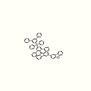 c1ccc(-c2cc(-c3ccccc3)cc(S(c3ccccc3)(c3ccccc3)c3cc(-c4ccccc4)c(-n4c5ccccc5c5cc(-c6ccc7oc8ccccc8c7c6)ccc54)c(-c4ccccc4)c3)c2)cc1